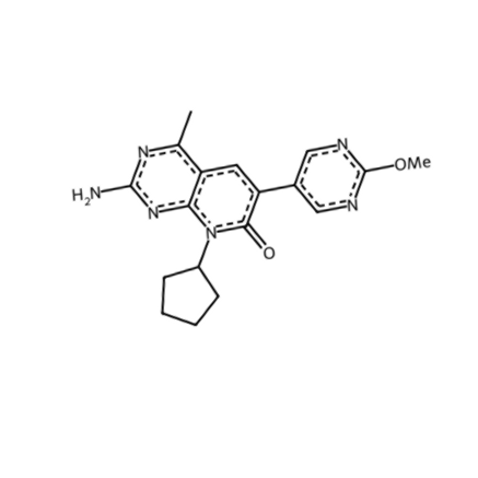 COc1ncc(-c2cc3c(C)nc(N)nc3n(C3CCCC3)c2=O)cn1